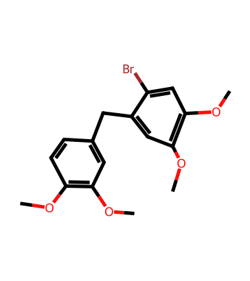 COc1ccc(Cc2cc(OC)c(OC)cc2Br)cc1OC